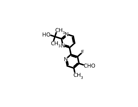 Cc1cnc(-c2ccnc(C(C)(C)O)n2)c(F)c1C=O